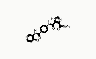 CNC(=O)c1nc[nH]c1C(=O)N[C@H]1CC[C@H](C(=O)Nc2cnccc2Cl)CC1